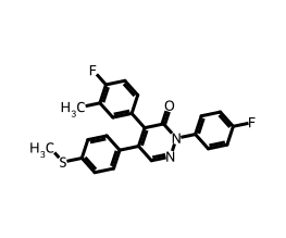 CSc1ccc(-c2cnn(-c3ccc(F)cc3)c(=O)c2-c2ccc(F)c(C)c2)cc1